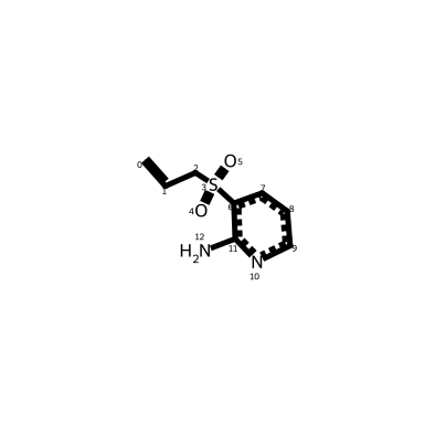 C=CCS(=O)(=O)c1cccnc1N